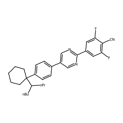 CCCCC(CCC)C1(c2ccc(-c3cnc(-c4cc(F)c(C#N)c(F)c4)nc3)cc2)CCCCC1